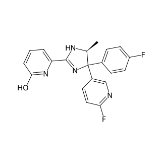 C[C@@H]1NC(c2cccc(O)n2)=NC1(c1ccc(F)cc1)c1ccc(F)nc1